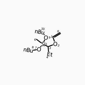 C=COC(CC)[Si](C)(OCCCC)OCCCC